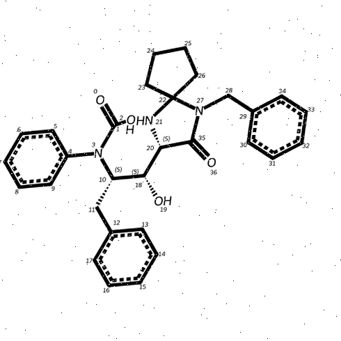 O=C(O)N(c1ccccc1)[C@@H](Cc1ccccc1)[C@@H](O)[C@@H]1NC2(CCCC2)N(Cc2ccccc2)C1=O